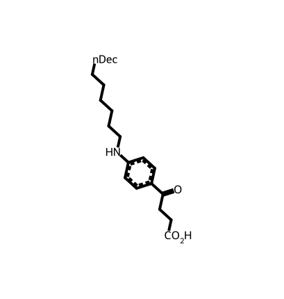 CCCCCCCCCCCCCCCCNc1ccc(C(=O)CCC(=O)O)cc1